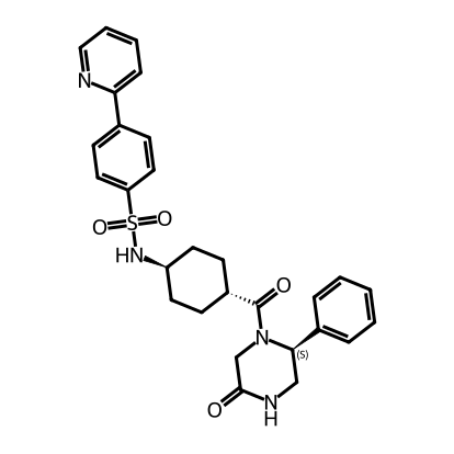 O=C1CN(C(=O)[C@H]2CC[C@H](NS(=O)(=O)c3ccc(-c4ccccn4)cc3)CC2)[C@@H](c2ccccc2)CN1